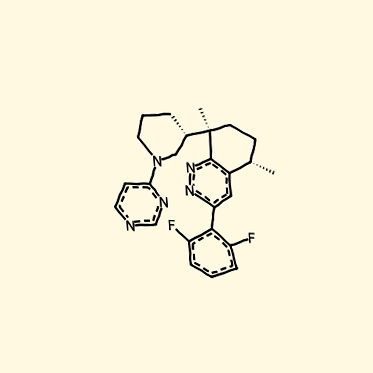 C[C@H]1CC[C@](C)([C@H]2CCCN(c3ccncn3)C2)c2nnc(-c3c(F)cccc3F)cc21